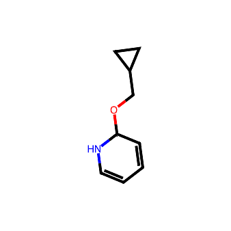 C1=CN[C](OCC2CC2)C=C1